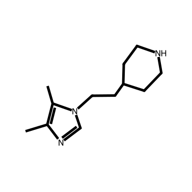 Cc1ncn(CCC2CCNCC2)c1C